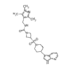 Cc1nn(C)c(C)c1CNC(=O)N1CC(S(=O)(=O)N2CCC(c3c[nH]c4ncccc34)CC2)C1